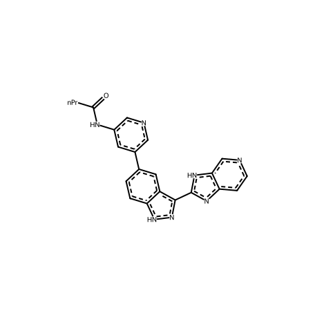 CCCC(=O)Nc1cncc(-c2ccc3[nH]nc(-c4nc5ccncc5[nH]4)c3c2)c1